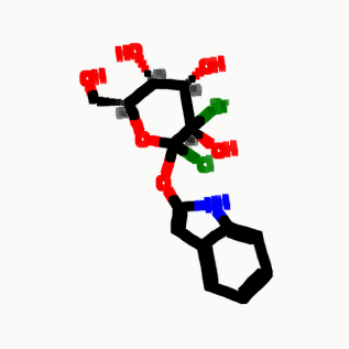 OC[C@H]1OC(Cl)(Oc2cc3ccccc3[nH]2)[C@@](O)(Br)[C@@H](O)[C@H]1O